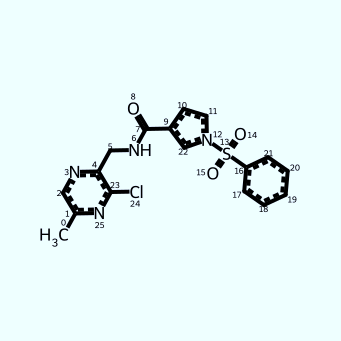 Cc1cnc(CNC(=O)c2ccn(S(=O)(=O)c3ccccc3)c2)c(Cl)n1